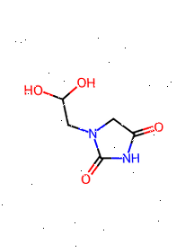 O=C1CN(CC(O)O)C(=O)N1